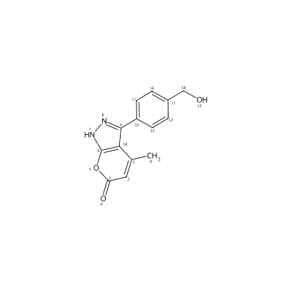 Cc1cc(=O)oc2[nH]nc(-c3ccc(CO)cc3)c12